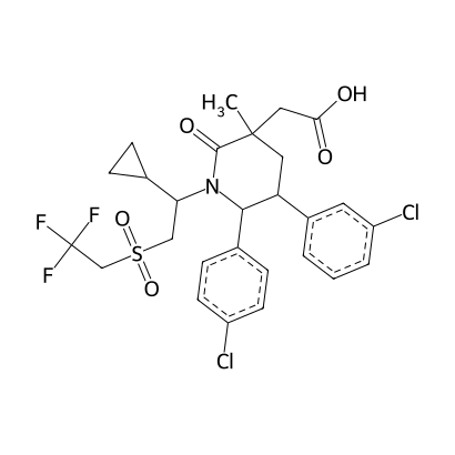 CC1(CC(=O)O)CC(c2cccc(Cl)c2)C(c2ccc(Cl)cc2)N(C(CS(=O)(=O)CC(F)(F)F)C2CC2)C1=O